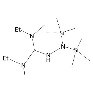 CCN(C)C(NN([Si](C)(C)C)[Si](C)(C)C)N(C)CC